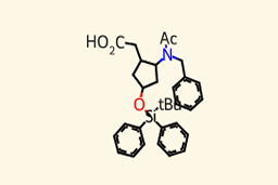 CC(=O)N(Cc1ccccc1)C1CC(O[Si](c2ccccc2)(c2ccccc2)C(C)(C)C)CC1CC(=O)O